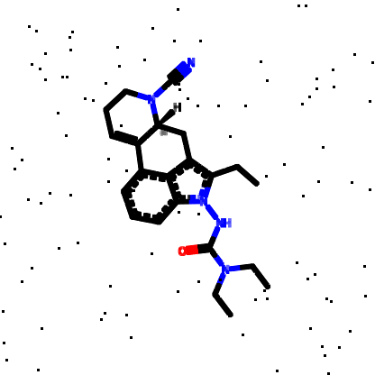 CCc1c2c3c(cccc3n1NC(=O)N(CC)CC)C1=CCCN(C#N)[C@@H]1C2